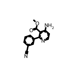 COC(=O)c1c(N)ccnc1-c1cccc(C#N)c1